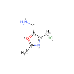 Cc1nc(C)c(CN)o1.Cl